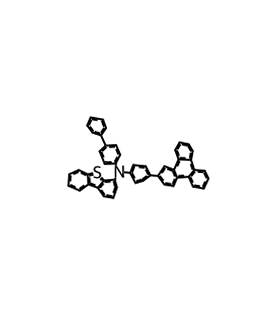 c1ccc(-c2ccc(N(c3ccc(-c4ccc5c6ccccc6c6ccccc6c5c4)cc3)c3cccc4c3sc3ccccc34)cc2)cc1